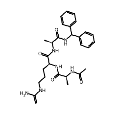 C=C(N)NCCC[C@H](NC(=O)[C@H](C)NC(C)=O)C(=O)N[C@@H](C)C(=O)NC(c1ccccc1)c1ccccc1